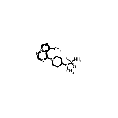 Cc1ccn2ncnc(N3CCC(N(C)S(N)(=O)=O)CC3)c12